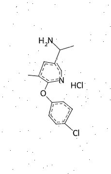 Cc1cc(C(C)N)cnc1Oc1ccc(Cl)cc1.Cl